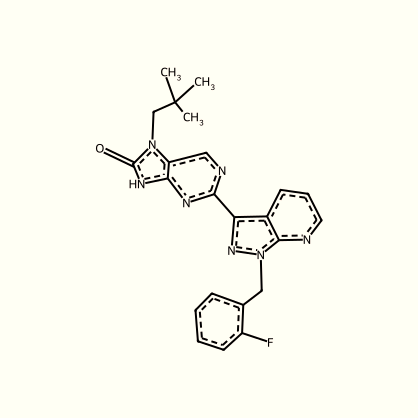 CC(C)(C)Cn1c(=O)[nH]c2nc(-c3nn(Cc4ccccc4F)c4ncccc34)ncc21